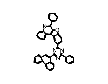 c1ccc(-c2nc(-c3ccc4oc5c(-c6ccccc6)nc6ccccc6c5c4c3)nc(-c3cc4ccccc4c4ccccc34)n2)cc1